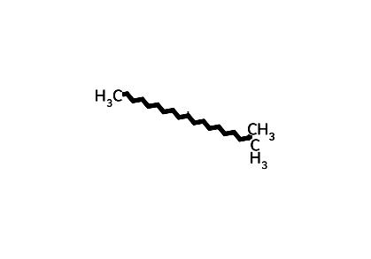 CCCCCCCCC[CH]CCCCCCCC(C)C